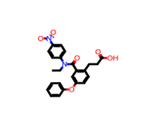 CCN(C(=O)c1cc(Oc2ccccc2)ccc1CCC(=O)O)c1ccc([N+](=O)[O-])cc1